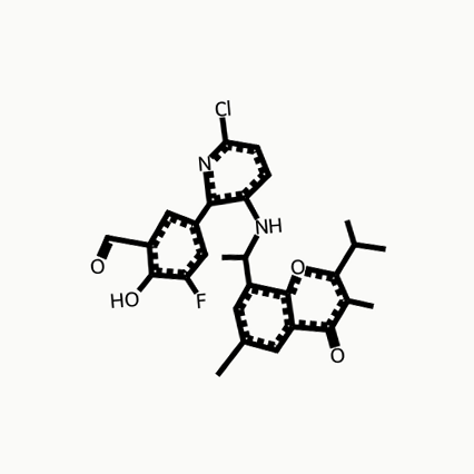 Cc1cc(C(C)Nc2ccc(Cl)nc2-c2cc(F)c(O)c(C=O)c2)c2oc(C(C)C)c(C)c(=O)c2c1